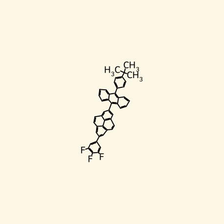 CC(C)(C)c1ccc(-c2c3ccccc3c(-c3cc4ccc5cc(-c6cc(F)c(F)c(F)c6)cc6ccc(c3)c4c56)c3ccccc23)cc1